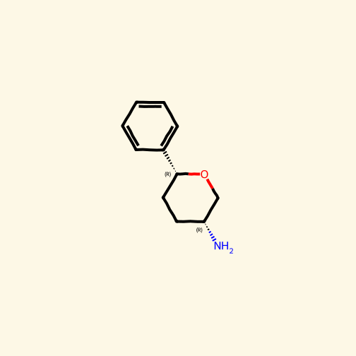 N[C@@H]1CC[C@H](c2ccccc2)OC1